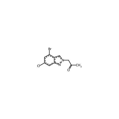 CC(=O)Cn1cc2c(Br)cc(Cl)cc2n1